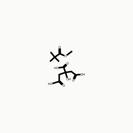 COC(=O)C(C)(C)C.O=C(O)CC(O)(CC(=O)O)C(=O)O